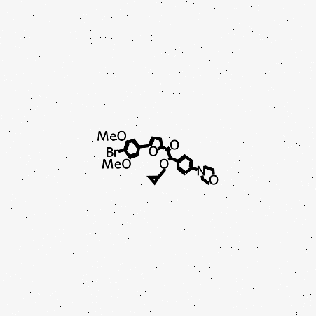 COc1cc(C2=CCC(C(=O)C(OCC3CC3)c3ccc(N4CCOCC4)cc3)O2)cc(OC)c1Br